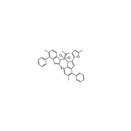 CCC1=Cc2c(ccc(C)c2-c2ccccc2)[CH]1[Zr]([Cl])([Cl])([CH]1C(c2ccc(C)o2)=Cc2c1ccc(C)c2-c1ccccc1)=[Si](C)C